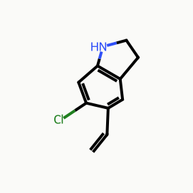 C=Cc1cc2c(cc1Cl)NCC2